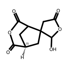 O=C1CC2(C[C@@H]3CC2C(=O)OC3=O)C(O)O1